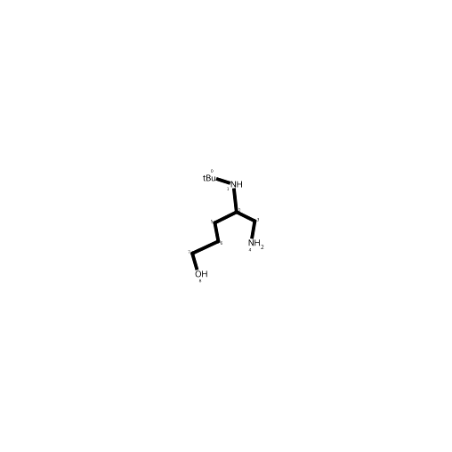 CC(C)(C)NC(CN)CCCO